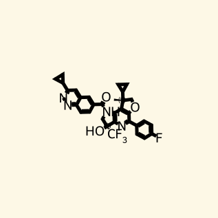 C[C@@]1(C2CC2)COc2c1cc([C@@](O)(CNC(=O)c1ccc3nnc(C4CC4)cc3c1)C(F)(F)F)nc2-c1ccc(F)cc1